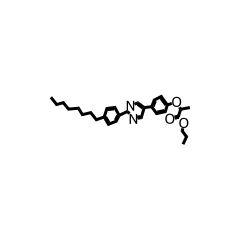 CCCCCCCCc1ccc(-c2ncc(-c3ccc(OC(C)C(=O)OCCC)cc3)cn2)cc1